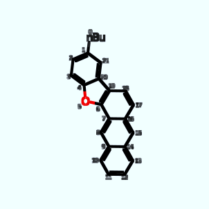 CCCCc1ccc2oc3c4cc5ccccc5cc4ccc3c2c1